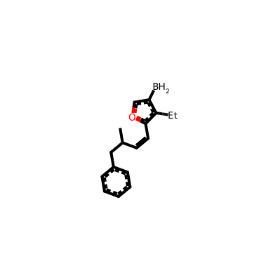 Bc1coc(/C=C\C(C)Cc2ccccc2)c1CC